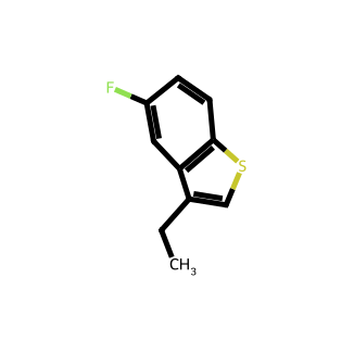 CCc1csc2ccc(F)cc12